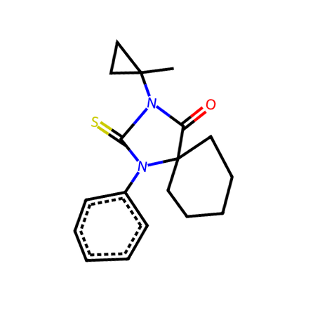 CC1(N2C(=O)C3(CCCCC3)N(c3ccccc3)C2=S)CC1